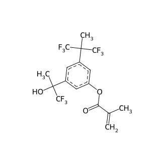 C=C(C)C(=O)Oc1cc(C(C)(O)C(F)(F)F)cc(C(C)(C(F)(F)F)C(F)(F)F)c1